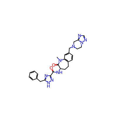 CN1C(=O)[C@H](NC(=O)c2n[nH]c(Cc3ccccc3)n2)CCc2ccc(CN3CCn4ncnc4C3)cc21